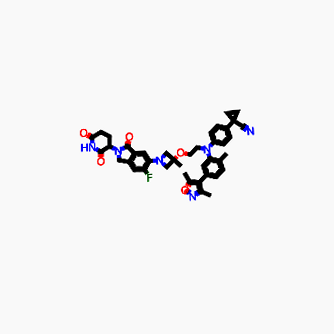 Cc1ccc(-c2c(C)noc2C)cc1N(CCOC1(C)CN(c2cc3c(cc2F)CN(C2CCC(=O)NC2=O)C3=O)C1)c1ccc(C2(C#N)CC2)cc1